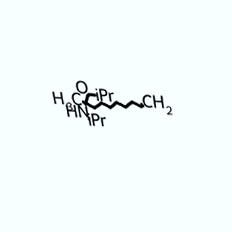 C=CCCCCCCC(C)(NC(C)C)C(=O)C(C)C